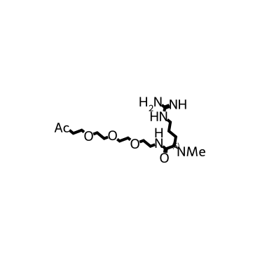 CN[C@@H](CCCNC(=N)N)C(=O)NCCOCCOCCOCCC(C)=O